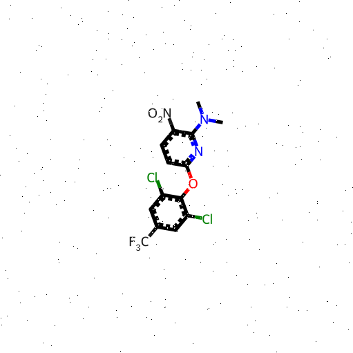 CN(C)c1nc(Oc2c(Cl)cc(C(F)(F)F)cc2Cl)ccc1[N+](=O)[O-]